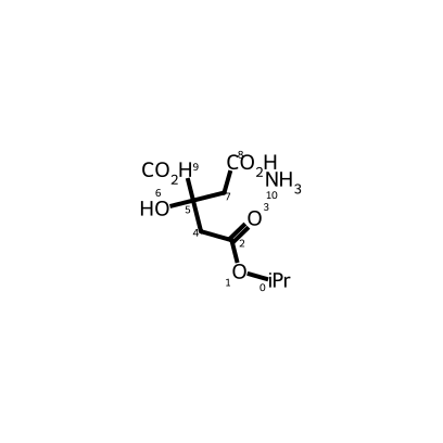 CC(C)OC(=O)CC(O)(CC(=O)O)C(=O)O.N